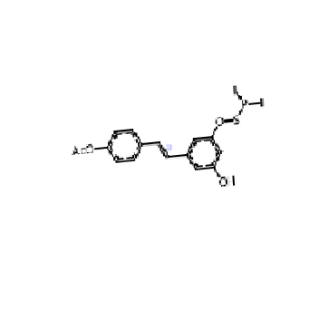 CC(=O)Oc1ccc(/C=C/c2cc(O)cc(OSP(I)I)c2)cc1